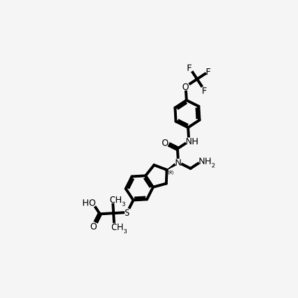 CC(C)(Sc1ccc2c(c1)C[C@H](N(CN)C(=O)Nc1ccc(OC(F)(F)F)cc1)C2)C(=O)O